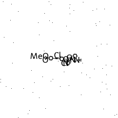 COC(=O)c1ccc(C#Cc2cc(Cl)c(Oc3ncccc3C(=O)N3CCN(C4CC4)c4ccccc43)cc2Cl)cc1